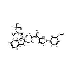 COc1cccc(-n2ccc(C(=O)N3CCC4(CC3)Cc3ccccc3[C@H]4N[S+]([O-])C(C)(C)C)n2)c1